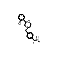 CN[C@H](C)c1ccc(CN2CCOC(c3ccccc3Cl)C2)cc1